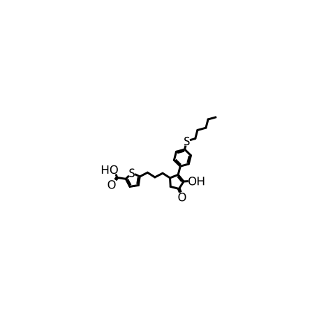 CCCCCSc1ccc(C2=C(O)C(=O)CC2CCCc2ccc(C(=O)O)s2)cc1